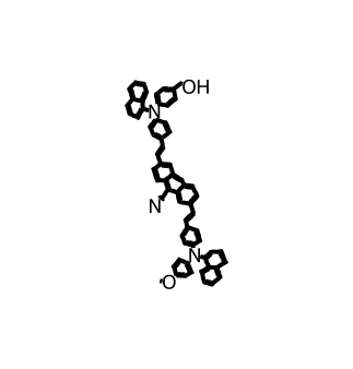 COc1ccc(N(c2ccc(C=Cc3ccc4cc5cc(C=Cc6ccc(N(c7ccc(CO)cc7)c7cccc8ccccc78)cc6)ccc5c(C#N)c4c3)cc2)c2cccc3ccccc23)cc1